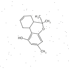 Cc1cc(O)c2c(c1)OC(C)(C)C1CC=CCC21